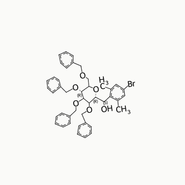 Cc1cc(Br)cc(C)c1[C@H](O)[C@H]1OC(COCc2ccccc2)[C@@H](OCc2ccccc2)C(OCc2ccccc2)C1OCc1ccccc1